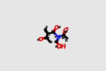 C=C(C(C)=O)C(=O)N(CO)C(C)=O